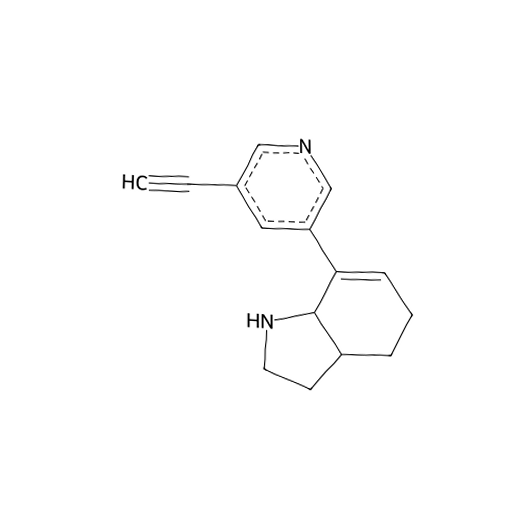 C#Cc1cncc(C2=CCCC3CCNC23)c1